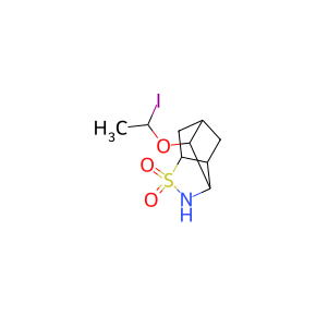 CC(I)OC1C2CC3C1NS(=O)(=O)C3C2